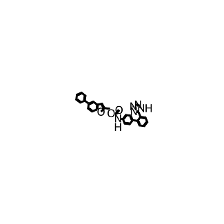 O=C(Nc1ccc(-c2ccccc2-c2nnn[nH]2)cc1)OCc1cc2cc(-c3ccccc3)ccc2o1